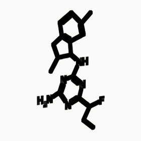 CCC(F)c1nc(N)nc(NC2c3cc(C)ccc3CC2C)n1